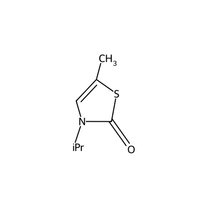 Cc1cn(C(C)C)c(=O)s1